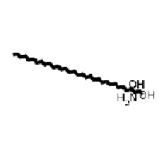 CCCCCCCCCCCCCCCCCCCCCCCCCCC/C=C/[C@@H](O)[C@@H](N)CO